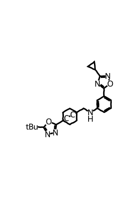 CC(C)(C)c1nnc(C23CCC(CNc4cccc(-c5nc(C6CC6)no5)c4)(CC2)CC3)o1